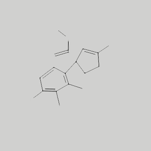 COC(=O)[C@]1(c2ccc(F)c(F)c2C)C=C(O)CC1